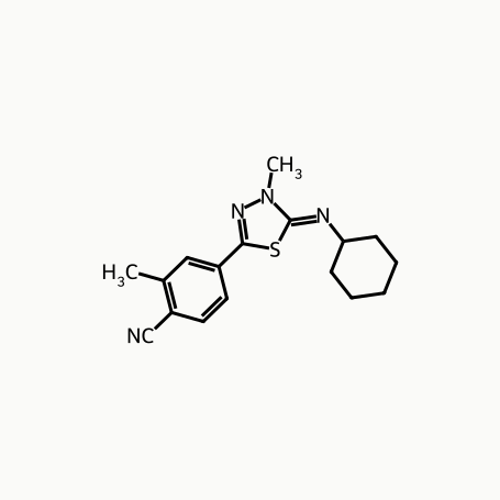 Cc1cc(-c2nn(C)c(=NC3CCCCC3)s2)ccc1C#N